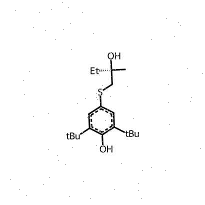 CC[C@@](C)(O)CSc1cc(C(C)(C)C)c(O)c(C(C)(C)C)c1